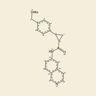 COCc1ccc(C2CC2C(=O)Nc2ccc3cnccc3c2)cc1